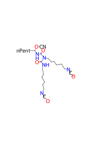 CCCCCC(NC(=O)N(CCCCCCN=C=O)C(=O)NCCCCCCN=C=O)OC#N